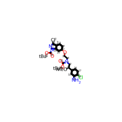 CO[C@@H](CN(CCOc1ccc2c(C(F)(F)F)nn(C(=O)OC(C)(C)C)c2c1)C(=O)OC(C)(C)C)c1ccc(Cl)c(N)c1